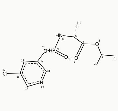 CC(C)OC(=O)[C@@H](C)N[PH](=O)Oc1cncc(Cl)c1